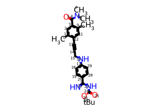 Cc1cc(C(=O)N(C)C)c(C)cc1C#CCNc1ccc(C(=N)NC(=O)OC(C)(C)C)cc1